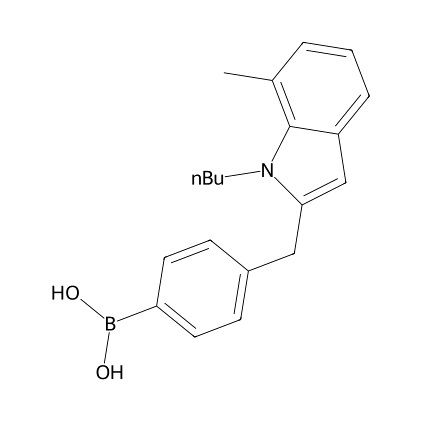 CCCCn1c(Cc2ccc(B(O)O)cc2)cc2cccc(C)c21